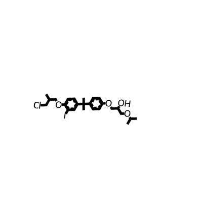 CC(CCl)COc1ccc(C(C)(C)c2ccc(OCC(O)COC(C)C)cc2)cc1I